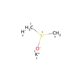 C[S+](C)[O-].[H-].[K+]